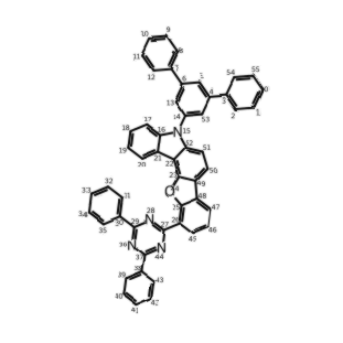 c1ccc(-c2cc(-c3ccccc3)cc(-n3c4ccccc4c4c5oc6c(-c7nc(-c8ccccc8)nc(-c8ccccc8)n7)cccc6c5ccc43)c2)cc1